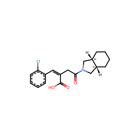 O=C(O)C(=Cc1ccccc1Cl)CC(=O)N1C[C@H]2CCCC[C@H]2C1